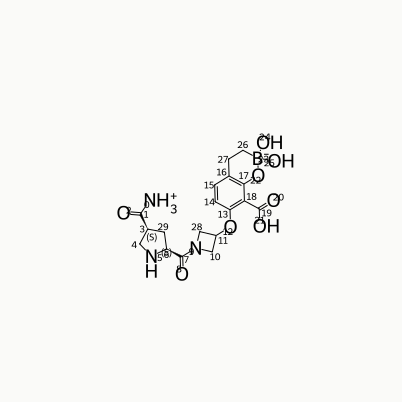 [NH3+]C(=O)[C@@H]1CN[C@H](C(=O)N2CC(Oc3ccc4c(c3C(=O)O)O[B-](O)(O)CC4)C2)C1